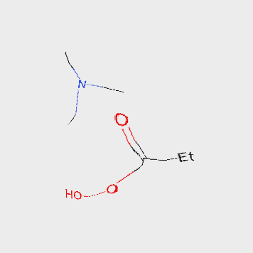 CCC(=O)OO.CN(C)C